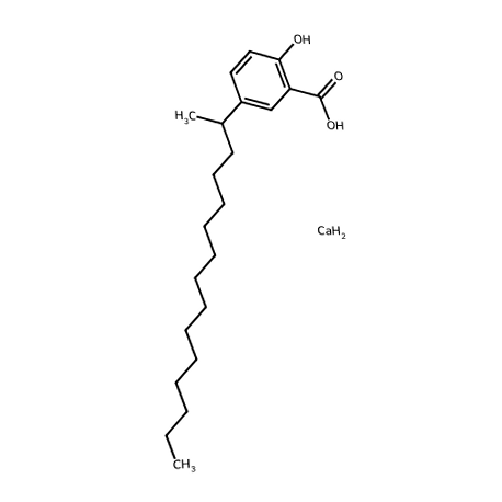 CCCCCCCCCCCCCC(C)c1ccc(O)c(C(=O)O)c1.[CaH2]